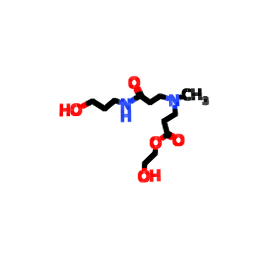 CN(CCC(=O)NCCCO)CCC(=O)OCCO